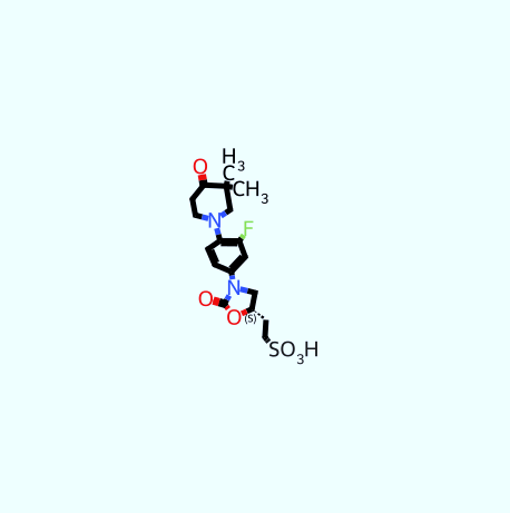 CC1(C)CN(c2ccc(N3C[C@H](CCS(=O)(=O)O)OC3=O)cc2F)CCC1=O